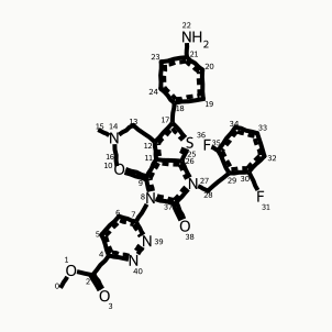 COC(=O)c1ccc(-n2c(=O)c3c(CN(C)C)c(-c4ccc(N)cc4)sc3n(Cc3c(F)cccc3F)c2=O)nn1